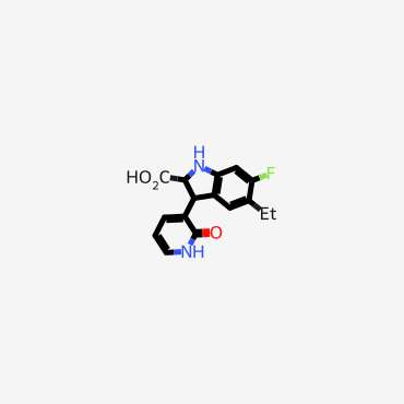 CCc1cc2c(cc1F)NC(C(=O)O)C2c1ccc[nH]c1=O